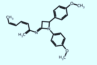 C=C(/C=C\C=C/C)/N=C1\CC(c2ccc(OC)cc2)N1c1ccc(OC)cc1